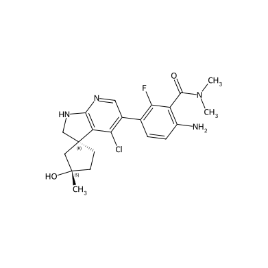 CN(C)C(=O)c1c(N)ccc(-c2cnc3c(c2Cl)[C@]2(CC[C@](C)(O)C2)CN3)c1F